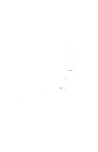 CCc1cc([N+](=O)[O-])c(C(C)COC(=O)O[C@@H]2CCO[C@@H]2COC)cc1Sc1ccccc1